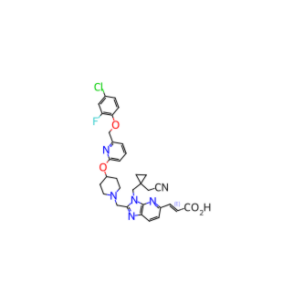 N#CCC1(Cn2c(CN3CCC(Oc4cccc(COc5ccc(Cl)cc5F)n4)CC3)nc3ccc(/C=C/C(=O)O)nc32)CC1